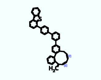 C=C1/C=C\C=C/Cc2cc(-c3cccc(-c4ccc(-c5cccc6c5sc5ccccc56)cc4)c3)ccc2-c2ccccc21